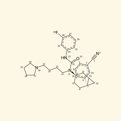 N#Cc1cccc([C@]23CC[C@@H](N(CCCCN4CCCC4)C(=O)Nc4cccc(F)c4)CC2C3)c1